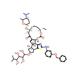 CC[C@H]1CCC[C@H](O[C@H]2CC[C@H](N(C)C)C(C)O2)[C@@H](C)C(=O)C2=C[C@@H]3C(c4nc(Nc5cccc(OCc6ccccc6)c5)sc4C4C[C@@H](OC(OC)C(OC)C(OC)C(OC)C(C)C)C[C@H]43)[C@@H]2CC(=O)O1